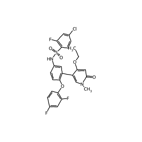 CCOc1cc(=O)n(C)cc1-c1cc(NS(=O)(=O)c2ccc(Cl)cc2F)ccc1Oc1ccc(F)cc1F